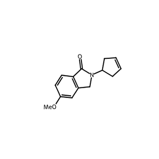 COc1ccc2c(c1)CN(C1CC=CC1)C2=O